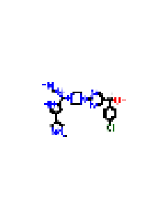 Cn1cc(-c2c[nH]c(/C(=N\C=N)N3CCN(c4ncc([C@](C)(O)c5ccc(Cl)cc5)cn4)CC3)c2)cn1